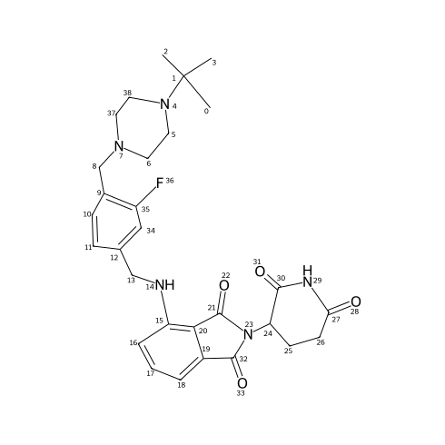 CC(C)(C)N1CCN(Cc2ccc(CNc3cccc4c3C(=O)N(C3CCC(=O)NC3=O)C4=O)cc2F)CC1